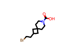 O=C(O)N1CCC2(CC1)CC(CCBr)C2